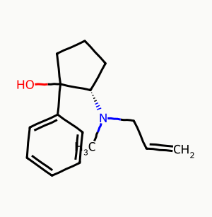 C=CCN(C)[C@H]1CCCC1(O)c1ccccc1